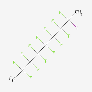 CC(F)(I)C(F)(F)C(F)(F)C(F)(F)C(F)(F)C(F)(F)C(F)(F)C(F)(F)F